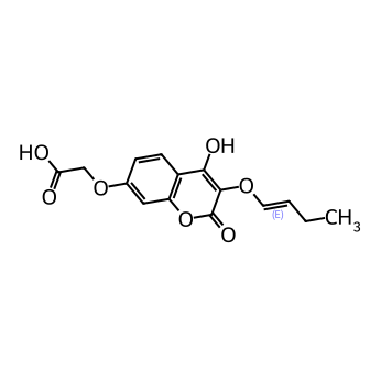 CC/C=C/Oc1c(O)c2ccc(OCC(=O)O)cc2oc1=O